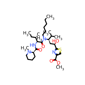 CCCCCCN(C(=O)[C@@H](NC(=O)[C@H]1CCCCN1C)[C@@H](C)CC)[C@H](C[C@@H](O)c1nc(C(=O)OC)cs1)C(C)C